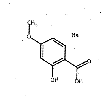 COc1ccc(C(=O)O)c(O)c1.[Na]